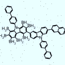 Bc1c(B)c(B)c2c(c1B)c1c(B)c(-c3ccc4c(c3)c3ccc(-c5ccc6ccccc6c5)cc3n4-c3ccc(-c4ccccc4)cc3)c(B)c(B)c1n2-c1ccc(-c2ccccc2)cc1